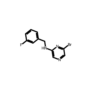 Fc1cccc(CNc2cncc(Br)n2)c1